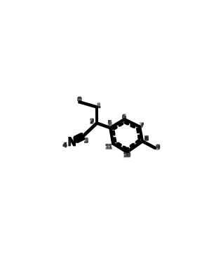 CCC(C#N)c1ccc(C)cc1